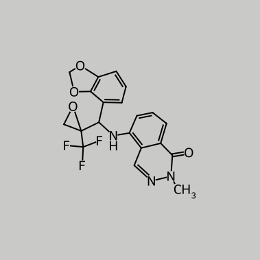 Cn1ncc2c(NC(c3cccc4c3OCO4)C3(C(F)(F)F)CO3)cccc2c1=O